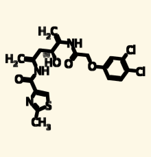 C=C(C[C@H](O)C(=C)NC(=O)COc1ccc(Cl)c(Cl)c1)NC(=O)c1csc(C)n1